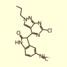 [C-]#[N+]c1ccc2c(c1)C(c1nc(Cl)nc3nn(CCC)cc13)C(=O)N2